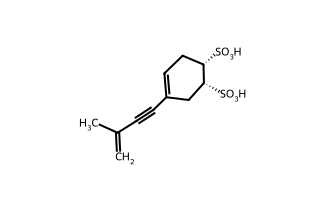 C=C(C)C#CC1=CC[C@H](S(=O)(=O)O)[C@H](S(=O)(=O)O)C1